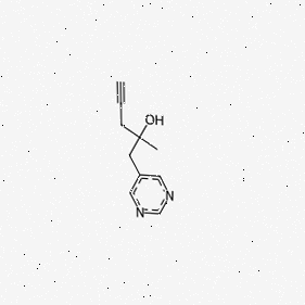 C#CCC(C)(O)Cc1cncnc1